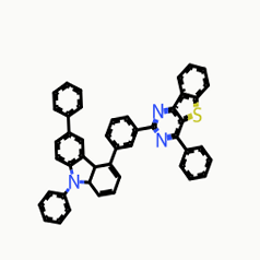 C1=CC2C(C(c3cccc(-c4nc(-c5ccccc5)c5sc6ccccc6c5n4)c3)=C1)c1cc(-c3ccccc3)ccc1N2c1ccccc1